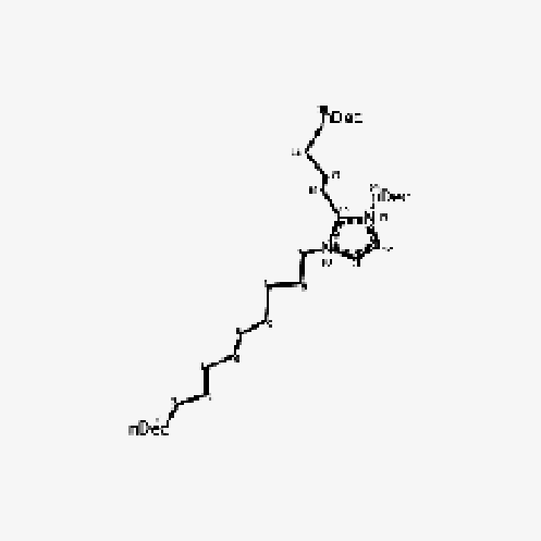 CCCCCCCCCCCCCCCCCCC[n+]1ccn(CCCCCCCCCC)c1CCCCCCCCCCCCC